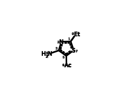 CCc1nc(N)c(C(C)=O)s1